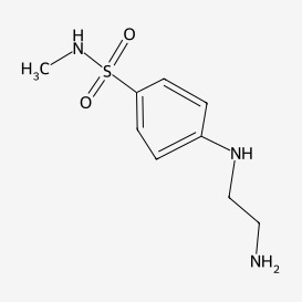 CNS(=O)(=O)c1ccc(NCCN)cc1